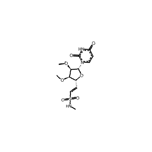 CNS(=O)(=O)/C=C/[C@H]1O[C@@H](n2ccc(=O)[nH]c2=O)[C@H](OC)[C@@H]1OC